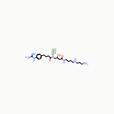 Cl.Cl.Cl.N=C(N)Nc1ccc(CCCC(=O)NCC(O)CC(=O)NCCCCNCCCN)cc1